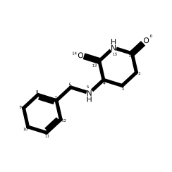 O=C1CCC(NCC2=CCCC=C2)C(=O)N1